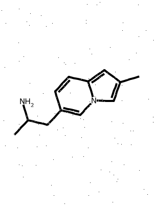 Cc1cc2ccc(CC(C)N)cn2c1